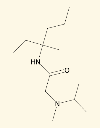 CCCC(C)(CC)NC(=O)CN(C)C(C)C